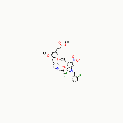 COC(=O)CCc1cc(OC)c(CC2CCN(CC(O)(c3cn(Cc4ccccc4F)c4cc([N+](=O)[O-])ccc34)C(F)(F)F)CC2)c(OC)c1